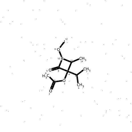 CC(=O)OC1(C(C)C)C(=O)B(OI)C1C